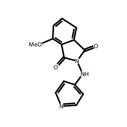 COc1cccc2c1C(=O)N(Nc1ccncc1)C2=O